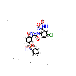 O=C(Nc1ccc(Cl)cc1-c1noc(=O)[nH]1)c1noc2ccc(S(=O)(=O)Nc3ccccc3)cc12